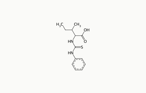 CCC(C)C(NC(=S)Nc1ccccc1)C(=O)O